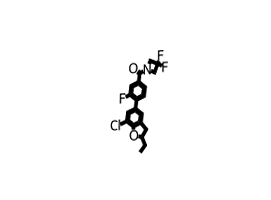 CCC1Cc2cc(-c3ccc(C(=O)N4CC(F)(F)C4)cc3F)cc(Cl)c2O1